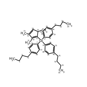 CCCCc1ccc([Si](C2=C(C)C(C)=CC2C)(c2ccc(CCCC)cc2)c2ccc(CCCC)cc2)cc1